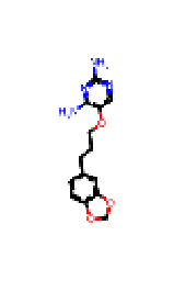 Nc1ncc(OCCCc2ccc3c(c2)OCO3)c(N)n1